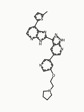 Cc1ccc(-c2ccnc3[nH]c(-c4n[nH]c5ncc(-c6cncc(OCCN7CCCC7)c6)cc45)nc23)s1